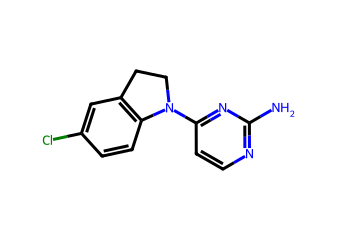 Nc1nccc(N2CCc3cc(Cl)ccc32)n1